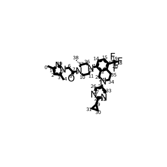 Cc1cc(C)n(CC(=O)N2CCN(c3ccc(C(F)(F)F)c4c3CN(c3cnc(C5CC5)nc3)CC4)C[C@H]2C)n1